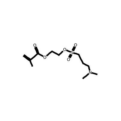 C=C(C)C(=O)OCCOS(=O)(=O)CCCN(C)C